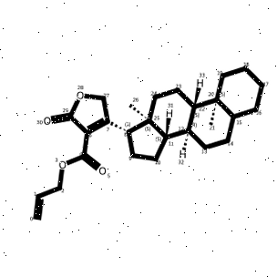 C=CCOC(=O)C1=C([C@H]2CC[C@H]3[C@@H]4CCC5CCCC[C@]5(C)[C@H]4CC[C@]23C)COC1=O